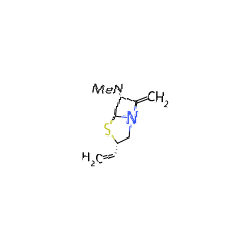 C=C[C@H]1CN2C(=C)[C@@H](NC)C2S1